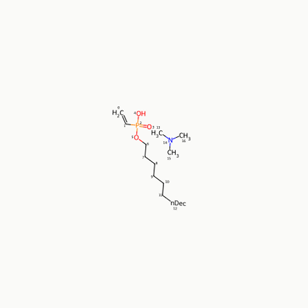 C=CP(=O)(O)OCCCCCCCCCCCCCCCC.CN(C)C